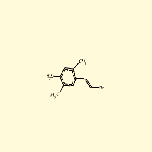 Cc1cc(C)c(C=CBr)cc1C